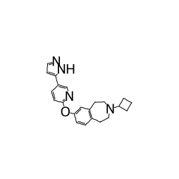 c1cc(-c2ccc(Oc3ccc4c(c3)CCN(C3CCC3)CC4)nc2)[nH]n1